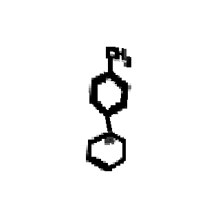 Cc1ccc([C@@H]2CC=CCC2)cc1